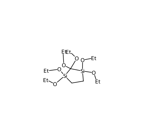 CCOC1(OCC)[Si](OCC)(OCC)CC[Si]1(OCC)OCC